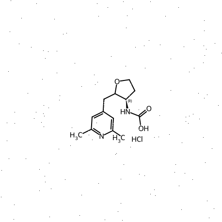 Cc1cc(CC2OCC[C@H]2NC(=O)O)cc(C)n1.Cl